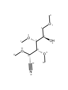 COC[C@@H](O)[C@@H](OC)[C@H](OC)[C@H](C#N)OC